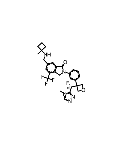 Cn1cnnc1[C@H](F)C1(c2cccc(N3Cc4c(cc(CNC5(C)CCC5)cc4C(F)(F)F)C3=O)c2)COC1